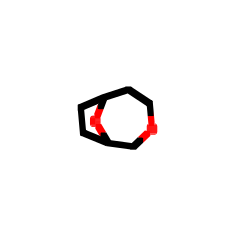 C1CC2CCC(CO1)O2